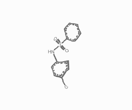 [O]c1ccc(NS(=O)(=O)c2ccccc2)cc1